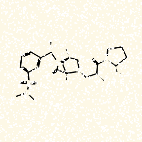 C[C@H](c1cccc(S(=O)(=O)N(C)C)c1)N1C(=O)[C@@H]2C[C@H]1CN2C[C@H](C)C(=O)N1CCC[C@H]1C#N